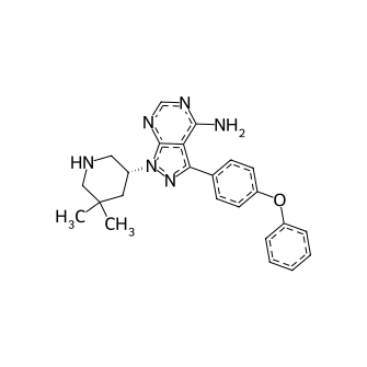 CC1(C)CNC[C@H](n2nc(-c3ccc(Oc4ccccc4)cc3)c3c(N)ncnc32)C1